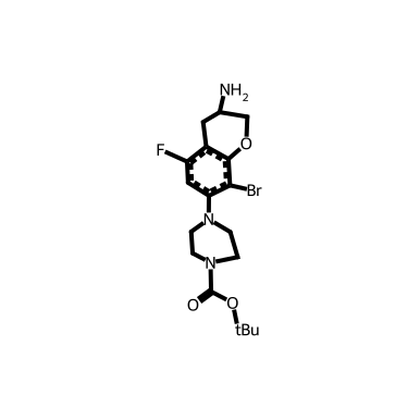 CC(C)(C)OC(=O)N1CCN(c2cc(F)c3c(c2Br)OCC(N)C3)CC1